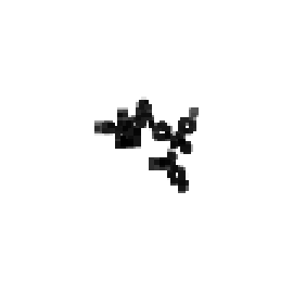 O=C(COC1(CCc2ccc([C@@H]3[C@@H](CC[C@H](O)c4ccc(F)cc4)C(=O)N3c3ccc(F)cc3)cc2)COC1)NC(CO)(CO)CO